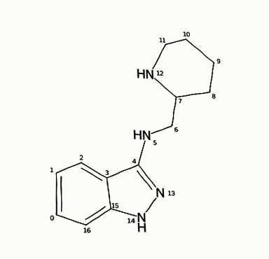 c1ccc2c(NCC3CCCCN3)n[nH]c2c1